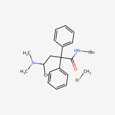 CBr.CC(CC(C(=O)NC(C)(C)C)(c1ccccc1)c1ccccc1)N(C)C